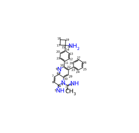 CC(=N)n1c(=N)ccc2nc(-c3ccc(C4(N)CCC4)cc3)c(-c3ccccc3)cc21